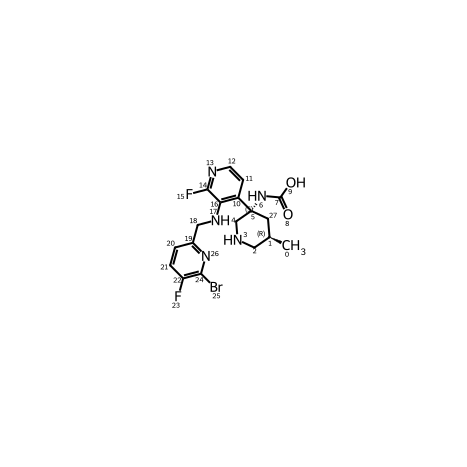 C[C@H]1CNC[C@@](NC(=O)O)(c2ccnc(F)c2NCc2ccc(F)c(Br)n2)C1